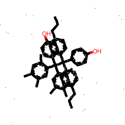 CCCc1ccc(C(c2ccc(O)cc2)(c2ccc(CCC)cc2)C(c2ccc(O)cc2)(c2cc(C)c(C)cc2C)c2cc(C)c(C)cc2C)cc1